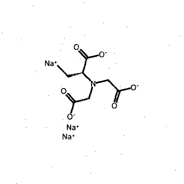 CC[C@@H](C(=O)[O-])N(CC(=O)[O-])CC(=O)[O-].[Na+].[Na+].[Na+]